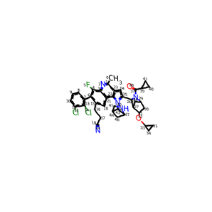 Cc1nc2c(F)c(-c3cccc(Cl)c3Cl)c(CCC#N)cc2c2c1cc(C1C3CC(CC3OC3CC3)N1C(=O)C1CC1)n2C1C2CNC1C2